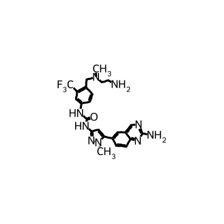 CN(CCN)Cc1ccc(NC(=O)Nc2cc(-c3ccc4nc(N)ncc4c3)n(C)n2)cc1C(F)(F)F